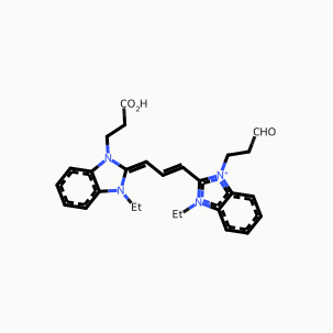 CCN1C(=CC=Cc2n(CC)c3ccccc3[n+]2CCC=O)N(CCC(=O)O)c2ccccc21